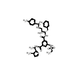 CCS(=O)(=O)Nc1cc(C(=O)NC(C)c2sccc2C)cc(C(=O)N[C@@H](Cc2ccccc2)[C@H](O)CN[C@H](C)c2ccc(C)cc2)c1